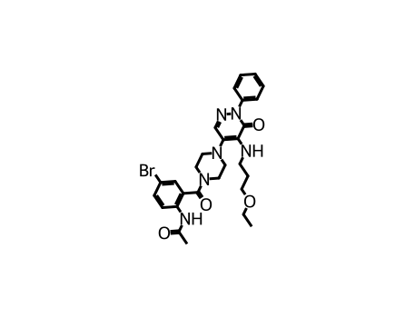 CCOCCCNc1c(N2CCN(C(=O)c3cc(Br)ccc3NC(C)=O)CC2)cnn(-c2ccccc2)c1=O